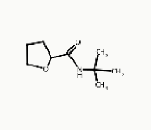 CC(C)(C)NC(=O)C1CCCO1